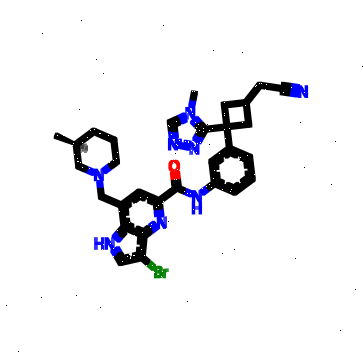 C[C@H]1CCCN(Cc2cc(C(=O)Nc3cccc(C4(c5nncn5C)CC(CC#N)C4)c3)nc3c(Br)c[nH]c23)C1